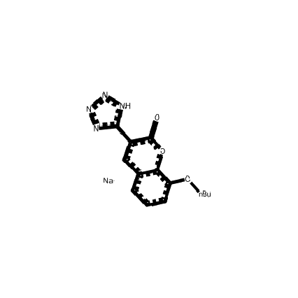 CCCCOc1cccc2cc(-c3nnn[nH]3)c(=O)oc12.[Na]